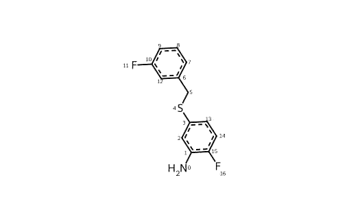 Nc1cc(SCc2cccc(F)c2)ccc1F